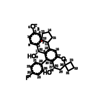 O[C@H](c1ccc(C(F)(F)F)cc1)c1c(C2CCCC2)cc2c(c1-c1ccc(F)cc1)[C@@H](O)CC1(CCC1)O2